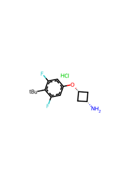 CC(C)(C)c1c(F)cc(O[C@H]2C[C@@H](N)C2)cc1F.Cl